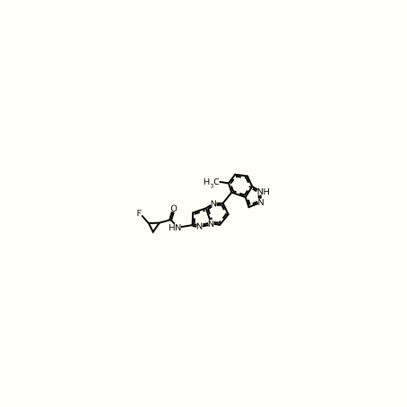 Cc1ccc2[nH]ncc2c1-c1ccn2nc(NC(=O)C3CC3F)cc2n1